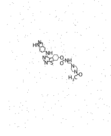 CC(=O)N1CCN(CCNC(=O)OC2CCc3c(sc4ncnc(Nc5ccc6[nH]ncc6c5)c34)C2)CC1